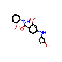 COc1ccccc1NC(=O)c1ccc(NC2=CC(=O)CC2)cc1OC